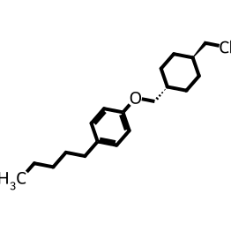 CCCCCc1ccc(OC[C@H]2CC[C@H](CCl)CC2)cc1